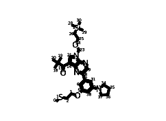 CSCCOc1cc(-c2cnc3c(n2)c(C(=O)C(C)(C)C)cn3COCC[Si](C)(C)C)cc(N2CCCC2)c1